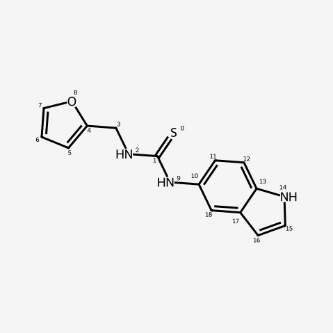 S=C(NCc1ccco1)Nc1ccc2[nH]ccc2c1